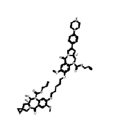 C=CCOC(=O)N1C[C@@H]2CC(c3ccc(N4CCNCC4)cc3)=CN2C(=O)c2cc(OC)c(OCCCCCOc3cc4c(cc3OC)C(=O)N3CC5(CC5)C[C@H]3C(O)N4C(=O)OCC=C)cc21